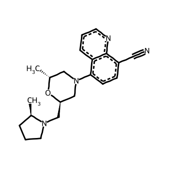 C[C@@H]1CN(c2ccc(C#N)c3ncccc23)C[C@@H](CN2CCC[C@H]2C)O1